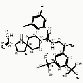 Cc1cc(F)ccc1[C@H]1C[C@]2(CC[C@H](C(=O)O)N2)CCN1C(=O)NC[C@@H](C)c1cc(C(F)(F)F)cc(C(F)(F)F)c1